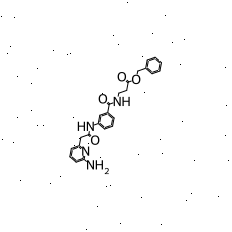 Nc1cccc(CC(=O)Nc2cccc(C(=O)NCCC(=O)OCc3ccccc3)c2)n1